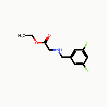 CCOC(=O)CNCc1cc(F)cc(F)c1